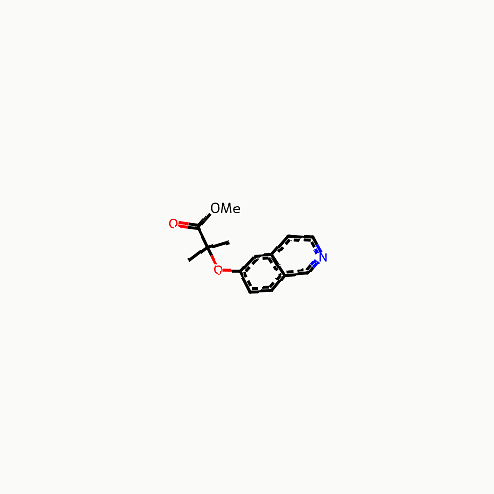 COC(=O)C(C)(C)Oc1ccc2cnccc2c1